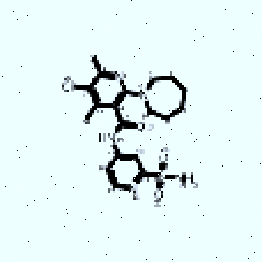 Cc1nc(N2CCCCCC2)c(C(=O)Nc2ccnc(S(N)(=O)=O)c2)c(C)c1Cl